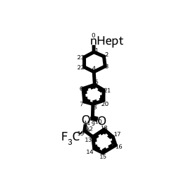 CCCCCCCC1CCC(c2ccc(C(=O)O[C@H](c3ccccc3)C(F)(F)F)cc2)CC1